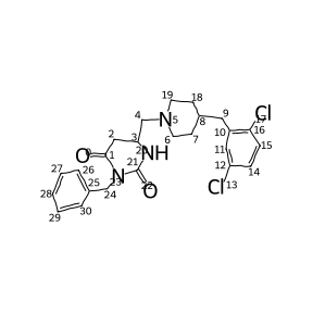 O=C1CC(CN2CCC(Cc3cc(Cl)ccc3Cl)CC2)NC(=O)N1Cc1ccccc1